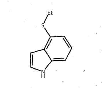 CCSc1cccc2[nH]ccc12